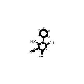 Cc1nc(Cl)c(C#N)c(C)c1-c1ccccc1